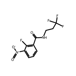 O=C(NCCC(F)(F)F)c1cccc([N+](=O)[O-])c1F